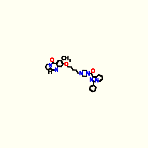 Cc1cc2c(cc1OCCCCCN1CCN(C(=O)c3nc(-c4ccccc4)n4ccccc34)CC1)N=C[C@@H]1CCCN1C2=O